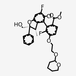 COC(=O)c1ccc(OCCOC2CCCCO2)c(F)c1-c1c(Cl)c(F)cc2c1[C@H](C)[C@@](CO)(c1ccccc1)O2